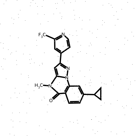 Cn1c(=O)c2ccc(C3CC3)cc2n2nc(-c3ccnc(C(F)(F)F)c3)cc12